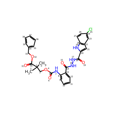 CC(C)(COC(=O)Nc1ccccc1C(=O)NNC(=O)c1cc2cc(Cl)ccc2[nH]1)C(=O)OCc1ccccc1